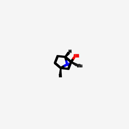 CC(C)(C)[C@@]1(O)C[C@@H]2CC[C@H]1N2